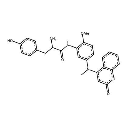 COc1ccc(N(C)c2cc(=O)oc3ccccc23)cc1NC(=O)C(N)Cc1ccc(O)cc1